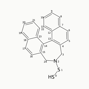 SSN1Cc2ccc3ccccc3c2-c2c(ccc3ccccc23)C1